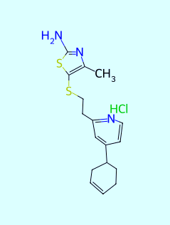 Cc1nc(N)sc1SCCc1cc(C2CC=CCC2)ccn1.Cl